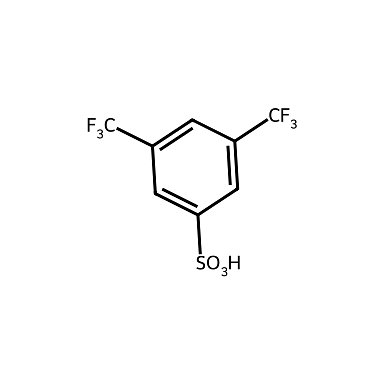 O=S(=O)(O)c1cc(C(F)(F)F)cc(C(F)(F)F)c1